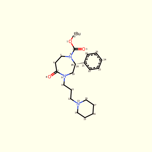 CC(C)(C)OC(=O)N1CCC(=O)N(CCCN2CCCCC2)C[C@H]1c1ccccc1